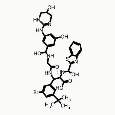 CC(C)(C)c1cc(Br)cc(C(NC(=O)CNC(O)c2cc(O)cc(NC3=NCC(O)CN3)c2)C(NC(O)c2nc3ccccc3s2)C(=O)O)c1